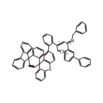 C=C/C(=C\C(=N/Cc1ccccc1)c1cccc(-c2ccccc2)c1)c1ccccc1-c1ccc2c(c1)C1(c3ccccc3S2)c2ccccc2C2(c3ccccc3-c3ccccc32)c2ccccc21